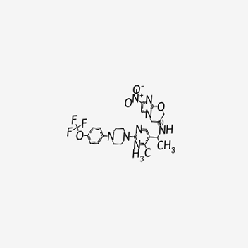 Cc1nc(N2CCN(c3ccc(OC(F)(F)F)cc3)CC2)ncc1C(C)N[C@@H]1COc2nc([N+](=O)[O-])cn2C1